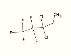 CCC(Cl)(Cl)C(F)(F)C(F)(F)F